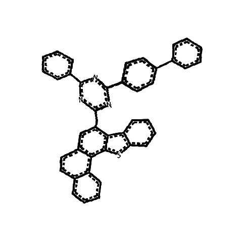 c1ccc(-c2ccc(-c3nc(-c4ccccc4)nc(-c4cc5ccc6ccccc6c5c5sc6ccccc6c45)n3)cc2)cc1